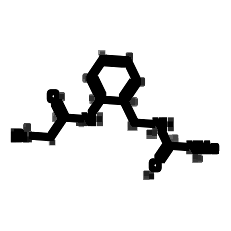 CCC(C)CC(=O)Nc1ccccc1CNC(=O)NC